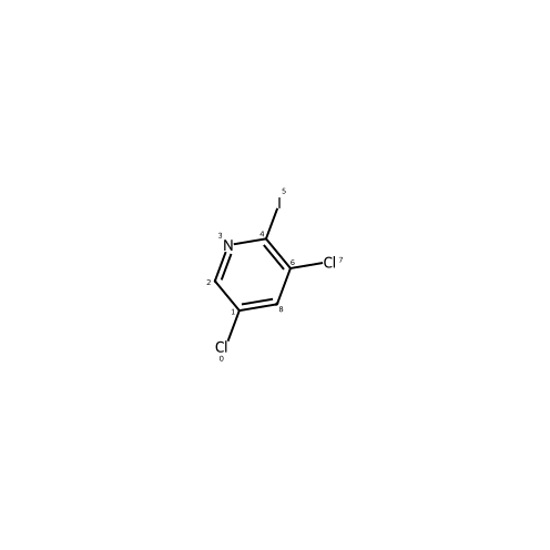 Clc1cnc(I)c(Cl)c1